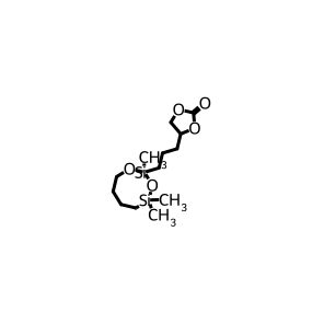 C[Si]1(C)CCCCO[Si](C)(CCCC2COC(=O)O2)O1